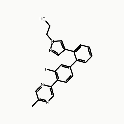 Cc1cnc(-c2ccc(-c3ccccc3-c3cnn(CCO)c3)cc2F)cn1